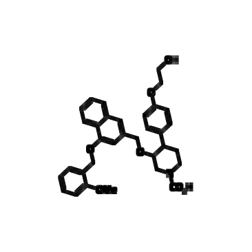 COc1ccccc1COc1cc(COC2CN(C(=O)O)CCC2c2ccc(OCCO)cc2)cc2ccccc12